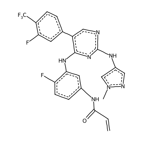 C=CC(=O)Nc1ccc(F)c(Nc2nc(Nc3cnn(C)c3)ncc2-c2ccc(C(F)(F)F)c(F)c2)c1